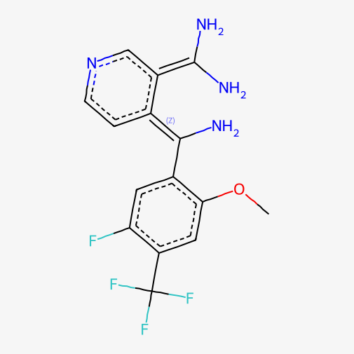 COc1cc(C(F)(F)F)c(F)cc1/C(N)=c1\ccncc1=C(N)N